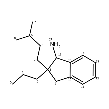 CCCC1(CCC(C)C)Cc2ccccc2C1N